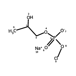 CC(O)COP(=O)([O-])OCl.[Na+]